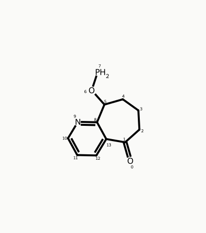 O=C1CCCC(OP)c2ncccc21